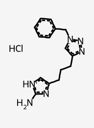 Cl.Nc1nc(CCCc2cn(Cc3ccccc3)nn2)c[nH]1